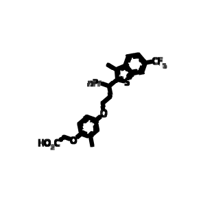 CCCC(CCOc1ccc(OCC(=O)O)c(C)c1)c1sc2cc(C(F)(F)F)ccc2c1C